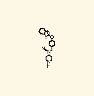 N#CN(Cc1ccc(Oc2nc3ccccc3s2)cc1)C1CCNCC1